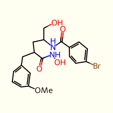 COc1cccc(CC(CC(CO)NC(=O)c2ccc(Br)cc2)C(=O)NO)c1